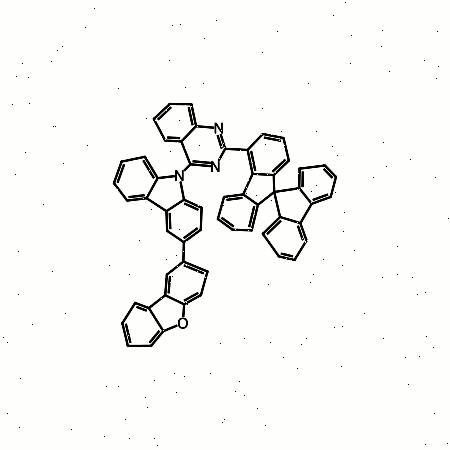 c1ccc2c(c1)-c1ccccc1C21c2ccccc2-c2c(-c3nc(-n4c5ccccc5c5cc(-c6ccc7oc8ccccc8c7c6)ccc54)c4ccccc4n3)cccc21